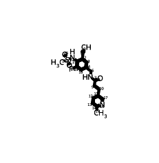 C#Cc1cc(CNC(=O)/C=C/c2ccc(C)nc2)cc(F)c1NS(C)(=O)=O